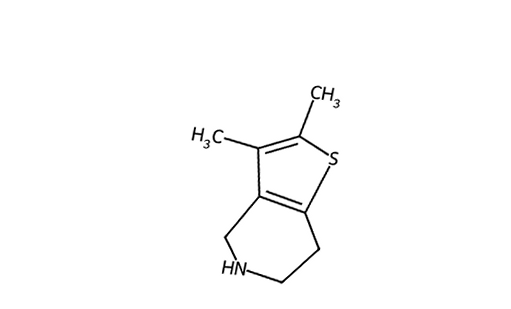 Cc1sc2c(c1C)CNCC2